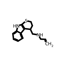 C=CCNCC1CCSc2[nH]c3ccccc3c21